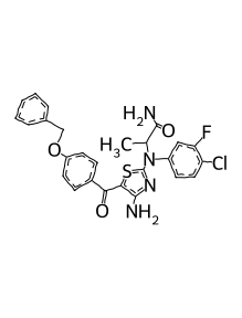 CC(C(N)=O)N(c1ccc(Cl)c(F)c1)c1nc(N)c(C(=O)c2ccc(OCc3ccccc3)cc2)s1